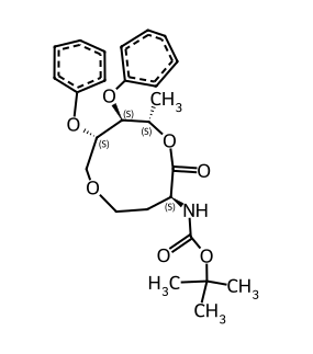 C[C@@H]1OC(=O)[C@@H](NC(=O)OC(C)(C)C)CCOC[C@H](Oc2ccccc2)[C@H]1Oc1ccccc1